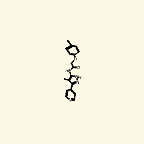 Cc1ccc(OCC(=O)Nc2[nH]nc(-c3ccncc3)c2C)cc1